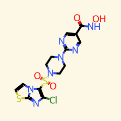 O=C(NO)c1cnc(N2CCN(S(=O)(=O)c3c(Cl)nc4sccn34)CC2)nc1